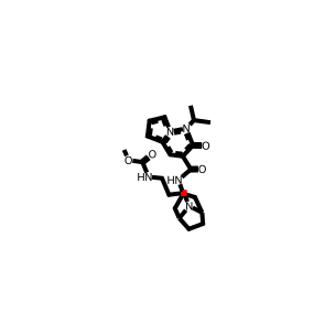 COC(=O)NCCCN1C2CCC1CC(NC(=O)c1cc3cccn3n(C(C)C)c1=O)C2